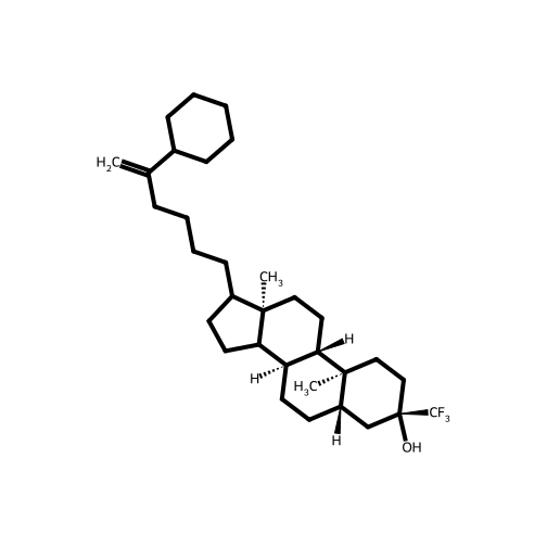 C=C(CCCCC1CCC2[C@@H]3CC[C@H]4C[C@](O)(C(F)(F)F)CC[C@]4(C)[C@H]3CC[C@]12C)C1CCCCC1